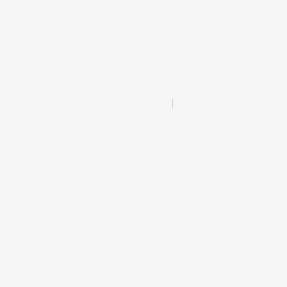 Ic1scc2c1CCCC2